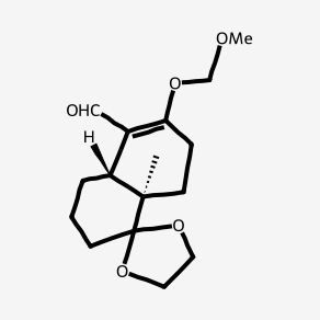 COCOC1=C(C=O)[C@H]2CCCC3(OCCO3)[C@]2(C)CC1